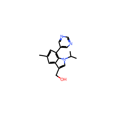 Cc1cc(-c2cncnc2)c2c(c1)c(CO)cn2C(C)C